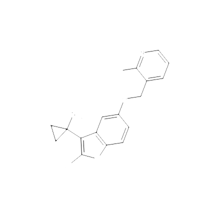 Cc1oc2ccc(OCc3cccnc3C(F)(F)F)cc2c1C1(N)CC1